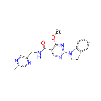 CCOc1nc(N2CCc3ccccc32)ncc1C(=O)NCc1cnc(C)cn1